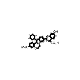 COc1ccc2c(c1)OCCn1c-2c(C2CCCCC2)c2ccc(C(=O)N[C@H](C(=O)O)c3ccc(O)cc3)cc21